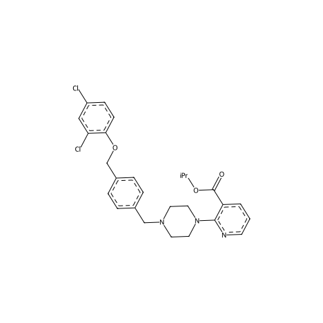 CC(C)OC(=O)c1cccnc1N1CCN(Cc2ccc(COc3ccc(Cl)cc3Cl)cc2)CC1